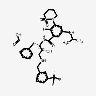 CC(C)Nc1cc(C(=O)N[C@@H](Cc2ccccc2)[C@H](O)CNCc2cccc(C(F)(F)F)c2)c(F)c(N2CCCCS2(=O)=O)c1.O=CO